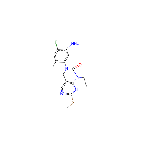 CCN1C(=O)N(c2cc(N)c(F)cc2C)Cc2cnc(SC)nc21